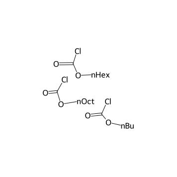 CCCCCCCCOC(=O)Cl.CCCCCCOC(=O)Cl.CCCCOC(=O)Cl